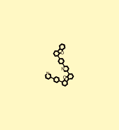 c1cncc(-c2ccc(-c3cccc4c3oc3c(-c5ccc(-c6ccc(-c7cccc8c7oc7ccccc78)cc6)nc5)cccc34)cc2)c1